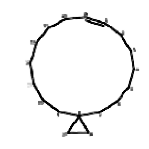 C1=CCCCCCCC2(CCCCCCC1)CC2